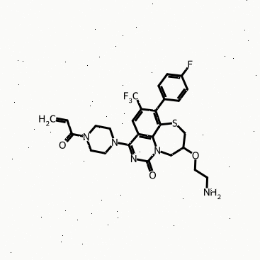 C=CC(=O)N1CCN(c2nc(=O)n3c4c(c(-c5ccc(F)cc5)c(C(F)(F)F)cc24)SCC(OCCN)C3)CC1